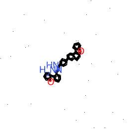 N=C(/N=C(\N)c1cccc2oc3ccccc3c12)c1ccc(-c2ccc3c(ccc4oc5ccccc5c43)c2)cc1